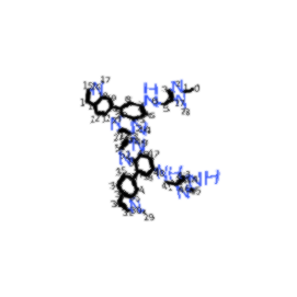 Cc1ncc(CNc2cc(-c3ccc4ccn(C)c4c3)c3nccnc3c2)n1C.Cn1ccc2ccc(-c3cc(NCc4c[nH]cn4)cc4nccnc34)cc21